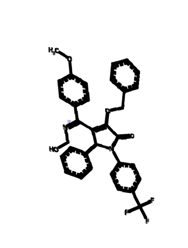 COc1ccc(/C(=N/CO)C2=C(OCc3ccccc3)C(=O)N(c3ccc(C(F)(F)F)cc3)C2c2ccccc2)cc1